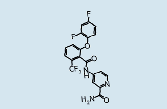 NC(=O)c1cc(NC(=O)c2c(Oc3ccc(F)cc3F)cccc2C(F)(F)F)ccn1